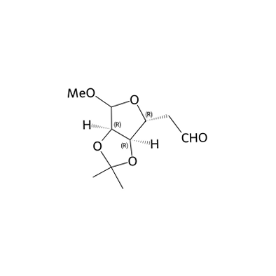 COC1O[C@H](CC=O)[C@H]2OC(C)(C)O[C@@H]12